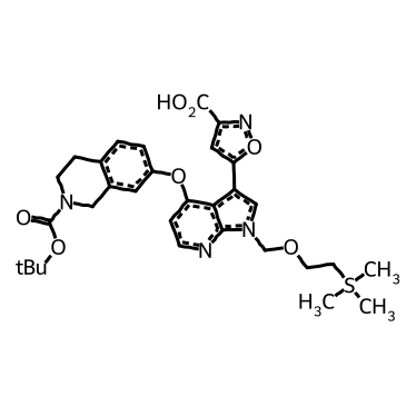 CC(C)(C)OC(=O)N1CCc2ccc(Oc3ccnc4c3c(-c3cc(C(=O)O)no3)cn4COCCS(C)(C)C)cc2C1